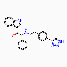 O=C(c1c[nH]c2ccccc12)C(NCCc1ccc(-c2c[nH]nn2)cc1)c1ccccc1